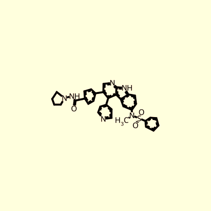 CN(c1ccc2[nH]c3ncc(-c4ccc(C(=O)NN5CCCC5)cc4)c(-c4ccncc4)c3c2c1)S(=O)(=O)c1ccccc1